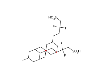 CC1CC2CC(CCC(F)(F)CS(=O)(=O)O)CC(C1)C2C1CCCC(CCC(F)(F)CS(=O)(=O)O)C1